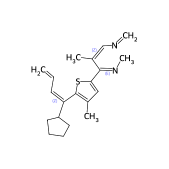 C=C/C=C(\c1sc(C(=N/C)/C(C)=C\N=C)cc1C)C1CCCC1